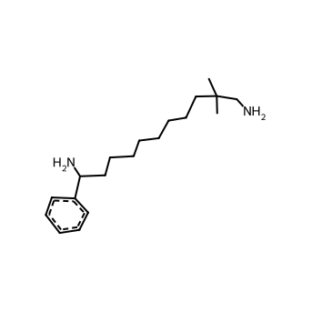 CC(C)(CN)CCCCCCCCC(N)c1ccccc1